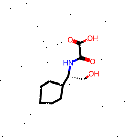 O=C(O)C(=O)N[C@H](CO)C1CCCCC1